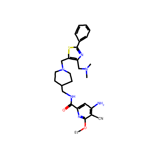 CCOc1nc(C(=O)NCC2CCN(Cc3sc(-c4ccccc4)nc3CN(C)C)CC2)cc(N)c1C#N